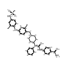 Cc1cc(NS(C)(=O)=O)ccc1Oc1ccc(CN2CCC(N(C(=O)Nc3ccc(C(N)=O)nc3)c3ccccc3)CC2)c(C)n1